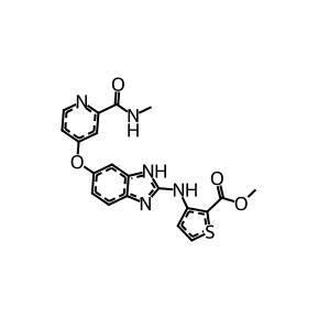 CNC(=O)c1cc(Oc2ccc3nc(Nc4ccsc4C(=O)OC)[nH]c3c2)ccn1